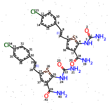 NC(=O)Nc1sc(/C=C/c2ccc(Cl)cc2)cc1C(N)=O.NC(=O)Nc1sc(/C=C/c2ccc(Cl)cc2)cc1C(N)=O